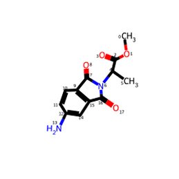 COC(=O)C(C)N1C(=O)c2ccc(N)cc2C1=O